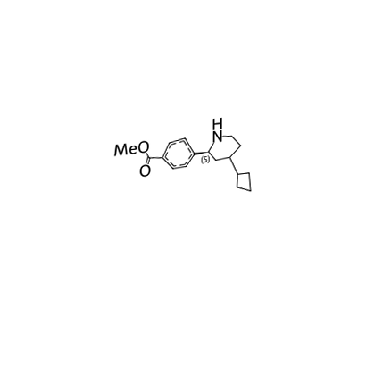 COC(=O)c1ccc([C@@H]2CC(C3CCC3)CCN2)cc1